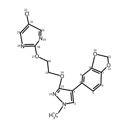 Cn1[c]c(-c2ccc3c(c2)OCO3)c(OCCOc2ncc(Cl)cn2)n1